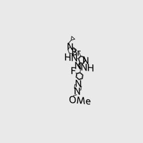 COCCN1CCN(c2ccc(-c3nc4c(NC5CCN(CC6CC6)CC5)c(Br)cnc4[nH]3)c(F)c2)CC1